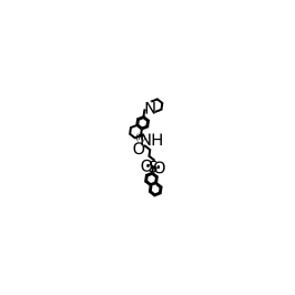 O=C(CCCS(=O)(=O)c1ccc2ccccc2c1)N[C@@H]1CCCc2cc(CN3CCCCC3)ccc21